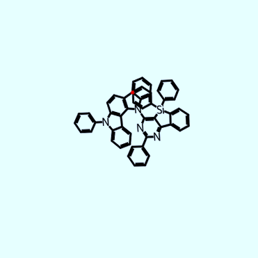 c1ccc(-c2nc3c(c(-n4c5ccccc5c5ccc6c(c7ccccc7n6-c6ccccc6)c54)n2)[Si](c2ccccc2)(c2ccccc2)c2ccccc2-3)cc1